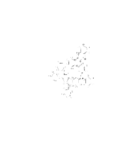 c1ccc(-c2ccccc2-c2ccc3c(c2)c2cc(N(c4ccccc4)c4ccc(-c5nc6ccccc6nc5-c5ccccc5)cc4)ccc2n3-c2ccccc2)cc1